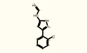 N=CNc1cc(-c2ccccc2Cl)n[nH]1